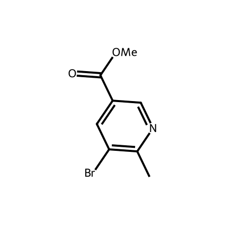 COC(=O)c1cnc(C)c(Br)c1